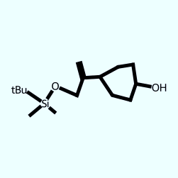 C=C(CO[Si](C)(C)C(C)(C)C)C1CCC(O)CC1